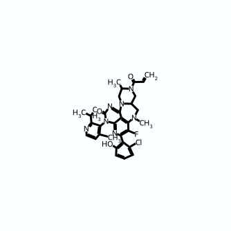 C=CC(=O)N1CC2CN(C)c3c(F)c(-c4c(O)cccc4Cl)nc4c3c(nc(=O)n4-c3c(C)ccnc3C(C)C)N2CC1C